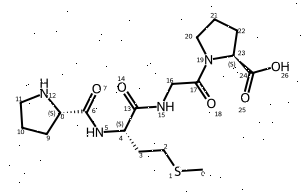 CSCC[C@H](NC(=O)[C@@H]1CCCN1)C(=O)NCC(=O)N1CCC[C@H]1C(=O)O